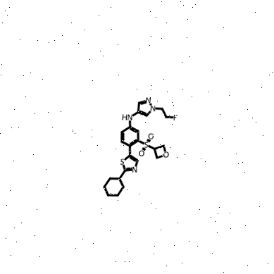 O=S(=O)(c1cc(Nc2cnn(CCF)c2)ccc1-c1cnc(C2CCCCC2)s1)C1COC1